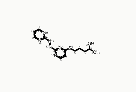 OC(O)CCCSc1ccnc(N=Nc2ncccn2)n1